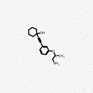 C[C@@H](CN)Oc1cccc(C#CC2(O)CCCCC2)c1